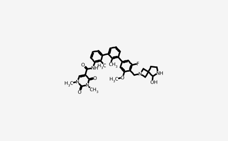 COc1cc(-c2cccc(-c3cccc(NC(=O)c4cn(C)c(=O)n(C)c4=O)c3C)c2C)cc(F)c1CN1CC2(CCNC2O)C1